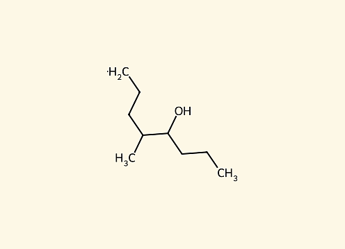 [CH2]CCC(C)C(O)CCC